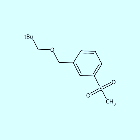 CC(C)(C)COCc1cccc(S(C)(=O)=O)c1